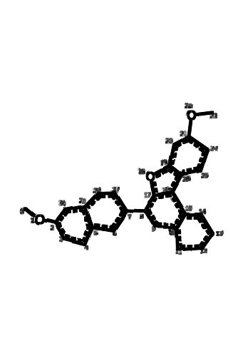 COc1ccc2cc(-c3cc4ccccc4c4c3oc3cc(OC)ccc34)ccc2c1